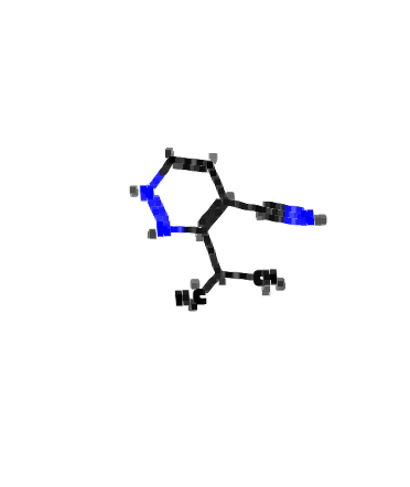 CC(C)c1nnccc1C#N